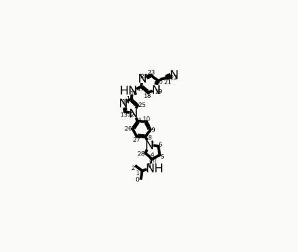 CC(C)N[C@@H]1CCN(c2ccc(-n3cnc(Nc4cnc(C#N)cn4)c3)cc2)C1